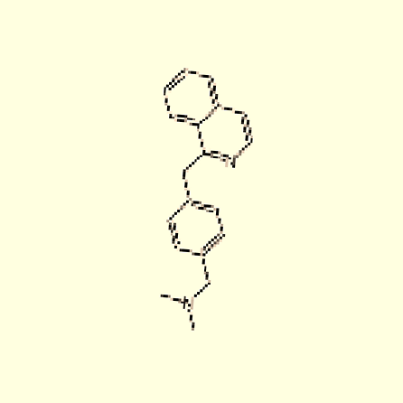 CN(C)Cc1ccc(Cc2nccc3ccccc23)cc1